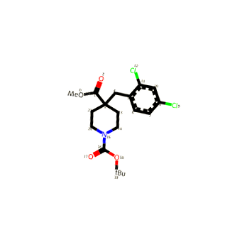 COC(=O)C1(Cc2ccc(Cl)cc2Cl)CCN(C(=O)OC(C)(C)C)CC1